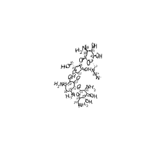 [N-]=[N+]=NC[C@@H]1O[C@@H](O[C@@H]2C(O)[C@H](O[C@@H]3C(O)[C@H](N)CC(N)[C@H]3O[C@H]3OC(CN)[C@@H](O)[C@H](O)C3N)O[C@@H]2CO)C(N)C(O)[C@H]1O